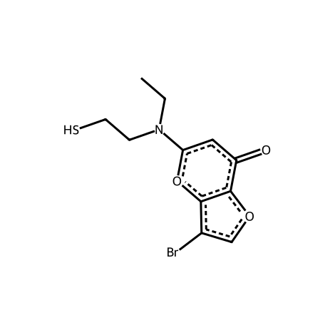 CCN(CCS)c1cc(=O)c2occ(Br)c2o1